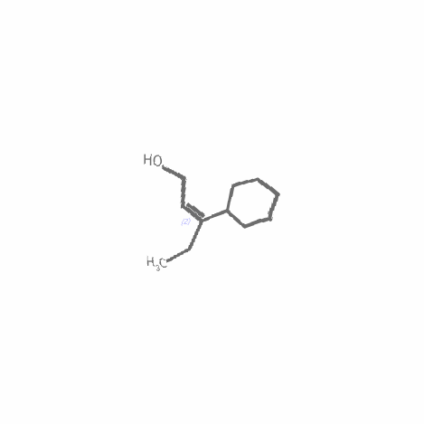 CC/C(=C/CO)C1CCCCC1